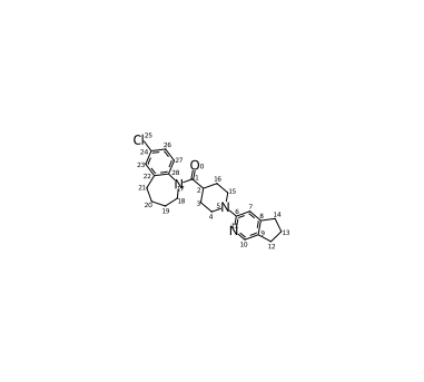 O=C(C1CCN(c2cc3c(cn2)CCC3)CC1)N1CCCCc2cc(Cl)ccc21